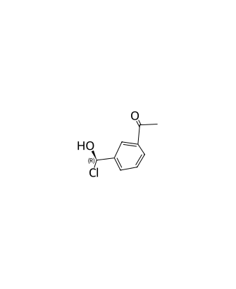 CC(=O)c1cccc([C@H](O)Cl)c1